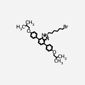 CC(C)COc1ccc(-c2ccc(-c3ccc(OCC(C)C)cc3)c3nn(CCCCCCBr)nc23)cc1